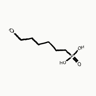 [O]CCCCCCP(=O)(O)O